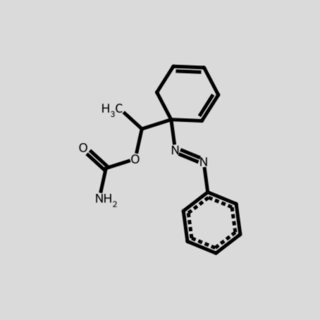 CC(OC(N)=O)C1(N=Nc2ccccc2)C=CC=CC1